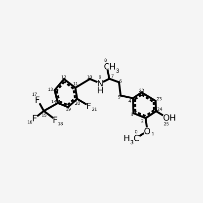 COc1cc(CCC(C)NCc2ccc(C(F)(F)F)cc2F)ccc1O